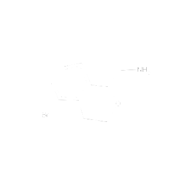 NCC1OCCc2c(Br)cccc21